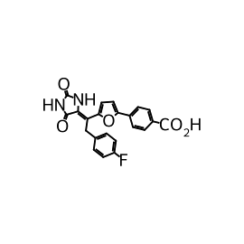 O=C1NC(=O)/C(=C(\Cc2ccc(F)cc2)c2ccc(-c3ccc(C(=O)O)cc3)o2)N1